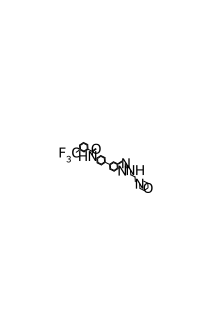 O=C(Nc1ccc(-c2ccc3nc(NCCCN4CCOCC4)ncc3c2)cc1)c1cccc(C(F)(F)F)c1